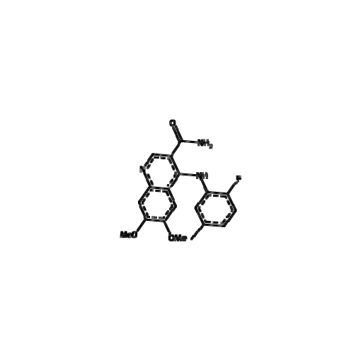 COc1cc2ncc(C(N)=O)c(Nc3cc(C)ccc3F)c2cc1OC